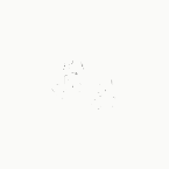 COC[P+](c1ccccc1)(c1ccccc1)c1ccccc1.COC[P+](c1ccccc1)(c1ccccc1)c1ccccc1.[O-2]